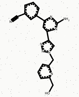 N#Cc1cccc(-c2cc(-c3cn(Cc4cccc(CO)n4)nn3)nc(N)n2)c1